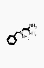 NC(N)=CN(N)Cc1ccccc1